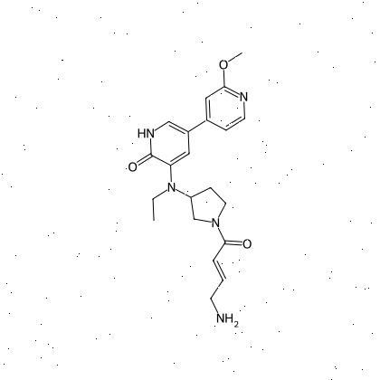 CCN(c1cc(-c2ccnc(OC)c2)c[nH]c1=O)C1CCN(C(=O)/C=C/CN)C1